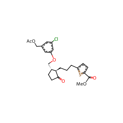 COC(=O)c1ccc(CCC[C@H]2C(=O)CC[C@@H]2COc2cc(Cl)cc(COC(C)=O)c2)s1